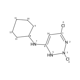 ClC1=NN(Cl)NC(NC2CCCCC2)=C1